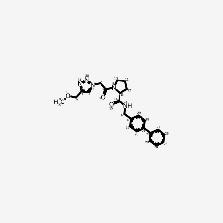 COCc1cn(CC(=O)N2CCC[C@H]2C(=O)NCc2ccc(-c3ccccc3)cc2)nn1